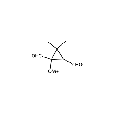 COC1([C]=O)C([C]=O)C1(C)C